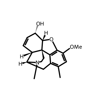 COc1cc(C)c2c3c1O[C@H]1[C@@H](O)C=C[C@H]4[C@@H](C2)N(C)CC[C@@]341